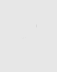 [I-].[I-].[I-].[K+].[Sr+2]